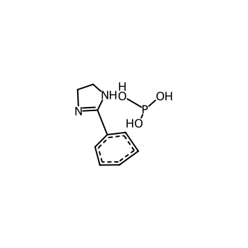 OP(O)O.c1ccc(C2=NCCN2)cc1